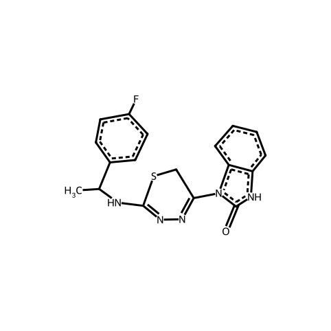 CC(NC1=NN=C(n2c(=O)[nH]c3ccccc32)CS1)c1ccc(F)cc1